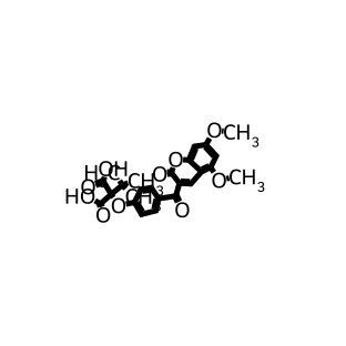 COc1cc(OC)c2cc(C(=O)c3ccc(OC(C(=O)O)(C(=O)O)C(C)(C)C)cc3)c(=O)oc2c1